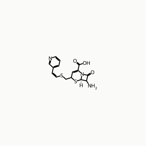 NC1C(=O)N2C(C(=O)O)=CC(CS/C=C\c3cccnc3)S[C@H]12